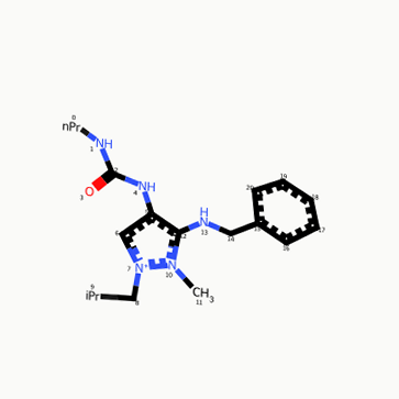 CCCNC(=O)Nc1c[n+](CC(C)C)n(C)c1NCc1ccccc1